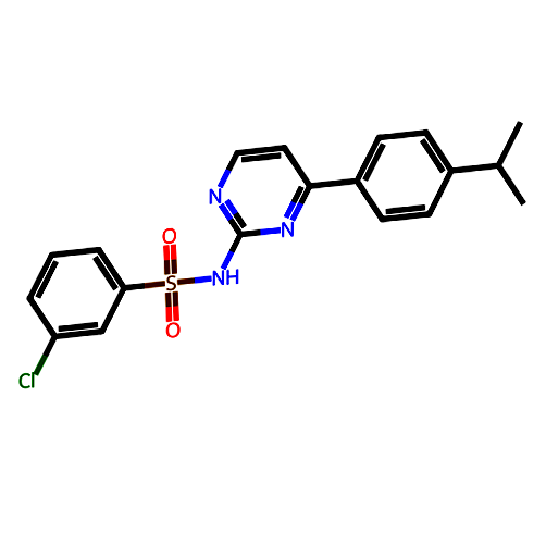 CC(C)c1ccc(-c2ccnc(NS(=O)(=O)c3cccc(Cl)c3)n2)cc1